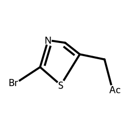 CC(=O)Cc1cnc(Br)s1